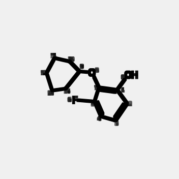 Oc1cccc(F)c1OC1CCCCC1